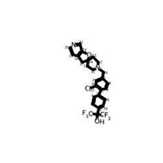 OC(c1ccc(-c2ccc(CN3CCC4(CC3)Cc3ccncc3O4)cc2Cl)cc1)(C(F)(F)F)C(F)(F)F